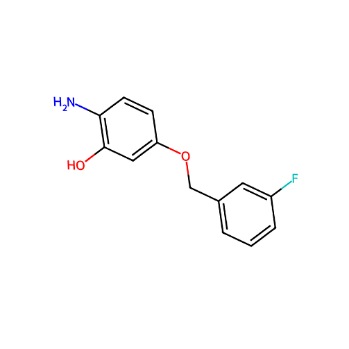 Nc1ccc(OCc2cccc(F)c2)cc1O